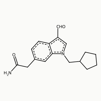 NC(=O)Cc1ccc2c(C=O)cn(CC3CCCC3)c2c1